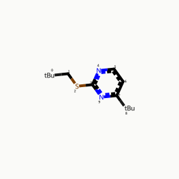 CC(C)(C)CSc1nccc(C(C)(C)C)n1